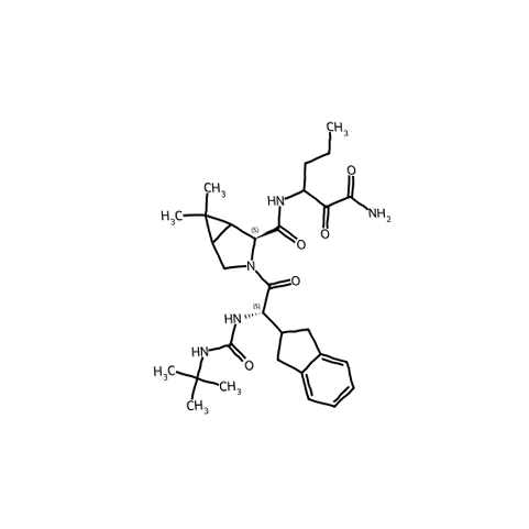 CCCC(NC(=O)[C@@H]1C2C(CN1C(=O)[C@@H](NC(=O)NC(C)(C)C)C1Cc3ccccc3C1)C2(C)C)C(=O)C(N)=O